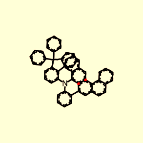 c1ccc(C2(c3ccccc3)c3ccccc3-c3c(N(c4ccccc4-c4ccc5c(ccc6ccccc65)c4)c4cccc5ccccc45)cccc32)cc1